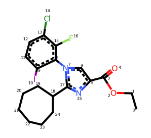 CCOC(=O)c1cn(-c2c(I)ccc(Cl)c2F)c(C2CCCCCC2)n1